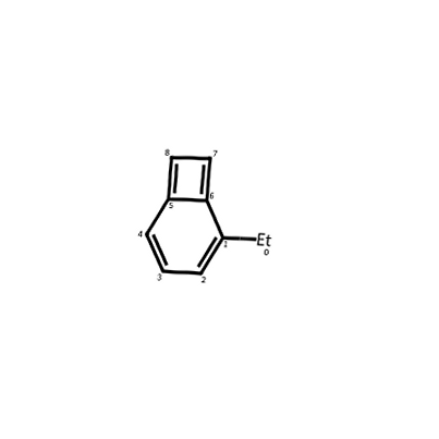 CCc1cccc2c1=CC=2